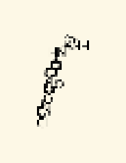 O=c1cc(OCc2ccc(Cl)cn2)ccn1C1=Cc2ccc(CNC[C@@H]3CNCCO3)cc2CC1